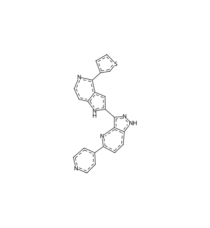 c1cc(-c2ccc3[nH]nc(-c4cc5c(-c6ccsc6)nccc5[nH]4)c3n2)ccn1